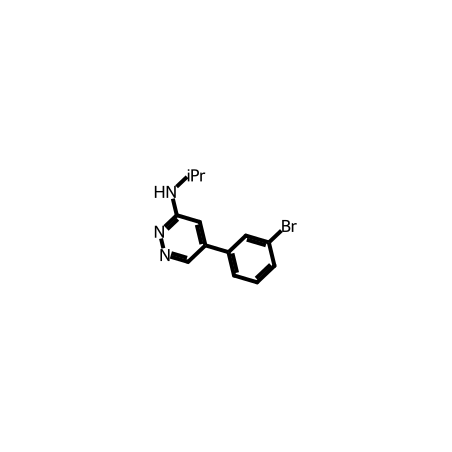 CC(C)Nc1cc(-c2cccc(Br)c2)cnn1